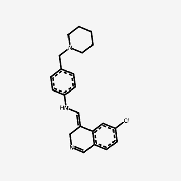 Clc1ccc2c(c1)C(=CNc1ccc(CN3CCCCC3)cc1)CN=C2